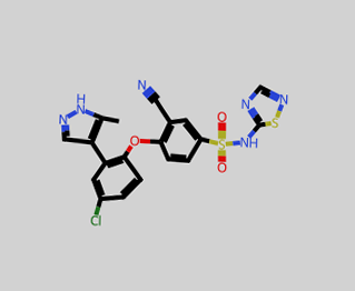 Cc1[nH]ncc1-c1cc(Cl)ccc1Oc1ccc(S(=O)(=O)Nc2ncns2)cc1C#N